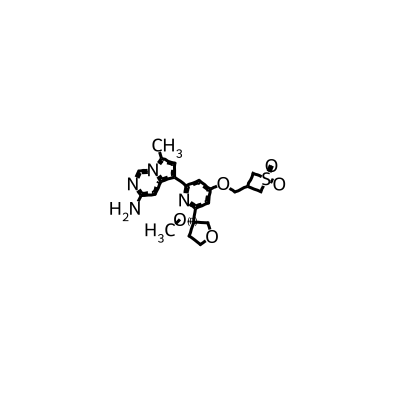 CO[C@@]1(c2cc(OCC3CS(=O)(=O)C3)cc(-c3cc(C)n4cnc(N)cc34)n2)CCOC1